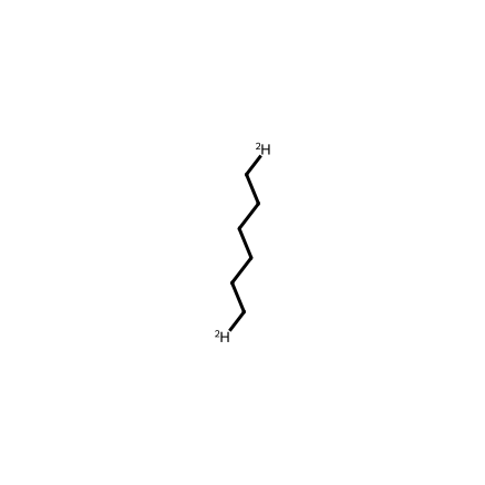 [2H]CCCCCC[2H]